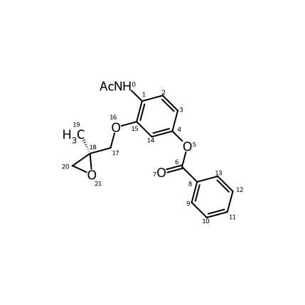 CC(=O)Nc1ccc(OC(=O)c2ccccc2)cc1OC[C@]1(C)CO1